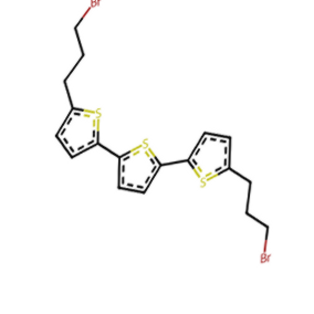 BrCCCc1ccc(-c2ccc(-c3ccc(CCCBr)s3)s2)s1